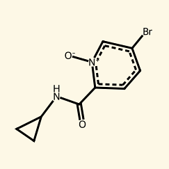 O=C(NC1CC1)c1ccc(Br)c[n+]1[O-]